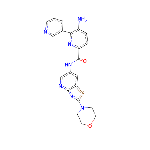 Nc1ccc(C(=O)Nc2cnc3nc(N4CCOCC4)sc3c2)nc1-c1cccnc1